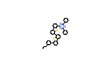 C=CCc1cccc(-c2cccc3c2sc2c(-c4cccc5c4sc4c(-c6nc(-c7ccccc7)nc(-c7ccccc7)n6)cccc45)cccc23)c1